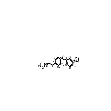 NCCc1ccc(Oc2cccc(Cl)c2)cc1